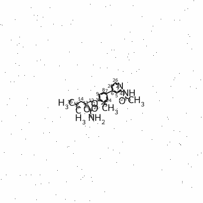 CC(=O)Nc1cc(-c2ccc(OC[C@H](CC(C)C)OC(N)=O)c(C)c2)ccn1